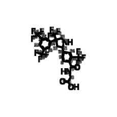 O=C(O)CNC(=O)c1ccc(C2CC(c3cc(C(F)(F)F)cc(C(F)(F)F)c3)(C(F)(F)F)CN2)cc1C(F)(F)F